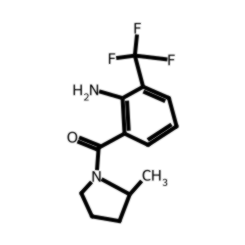 CC1CCCN1C(=O)c1cccc(C(F)(F)F)c1N